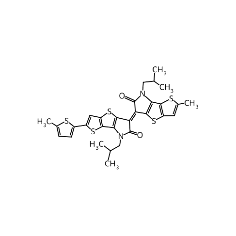 Cc1ccc(-c2cc3sc4c(c3s2)N(CC(C)C)C(=O)/C4=C2/C(=O)N(CC(C)C)c3c2sc2cc(C)sc32)s1